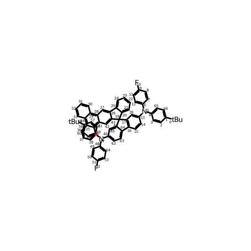 CC(C)(C)c1ccc(N(c2ccc(F)cc2)c2ccc3c(c2)C2(c4ccccc4-c4cc5c6ccccc6c6ccccc6c5cc42)c2cc(N(c4ccc(F)cc4)c4ccc(C(C)(C)C)cc4)ccc2-3)cc1